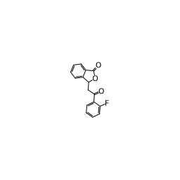 O=C(CC1OC(=O)c2ccccc21)c1ccccc1F